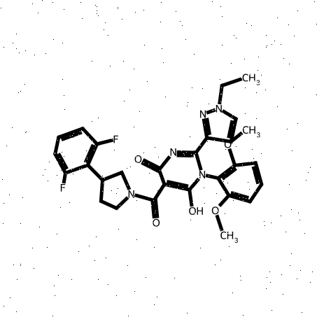 CCn1ccc(-c2nc(=O)c(C(=O)N3CCC(c4c(F)cccc4F)C3)c(O)n2-c2c(OC)cccc2OC)n1